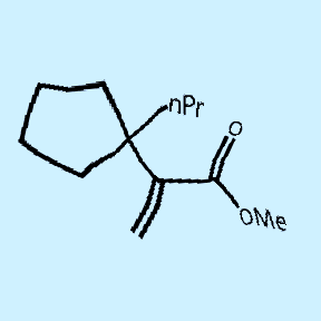 C=C(C(=O)OC)C1(CCC)CCCC1